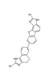 CC(C)c1nc2c([nH]1)-c1ccc(-c3ccc4c(c3)sc3c4ccc4[nH]c(C(C)C)nc43)cc1CC2